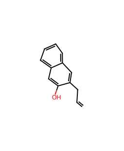 C=CCc1cc2ccccc2cc1O